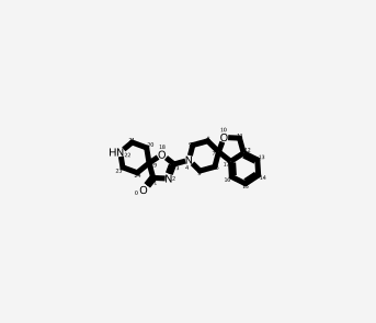 O=C1N=C(N2CCC3(CC2)OCc2ccccc23)OC12CCNCC2